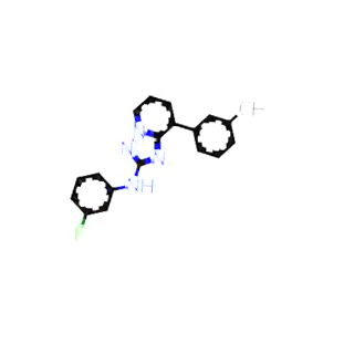 Cc1cccc(-c2cccn3nc(Nc4cccc(F)c4)nc23)c1